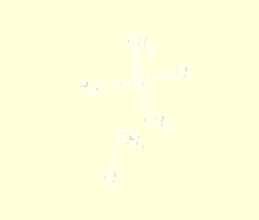 C[Si](C)(C)Cl.[SiH3]Cl